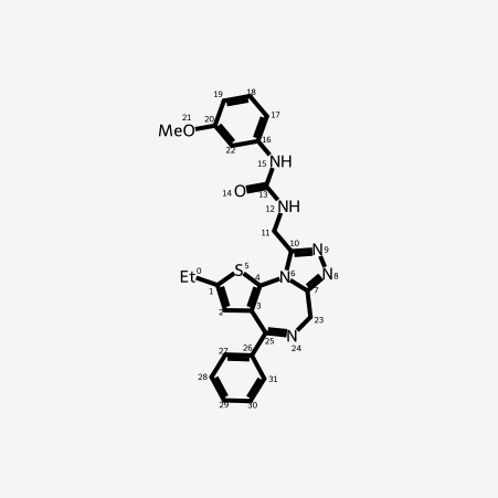 CCc1cc2c(s1)-n1c(nnc1CNC(=O)Nc1cccc(OC)c1)CN=C2c1ccccc1